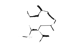 C=C(/C=C\C(C)C/C(C(=C)C)=C(\Cl)NCC)CCF